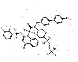 [2H]C([2H])([2H])OCC([2H])([2H])N1CCC(N(Cc2ccc(-c3ccc(C(F)(F)F)cc3)cc2)C(=O)C([2H])([2H])n2c(SC([2H])([2H])c3cccc(F)c3F)cc(=O)c3ccccc32)CC1